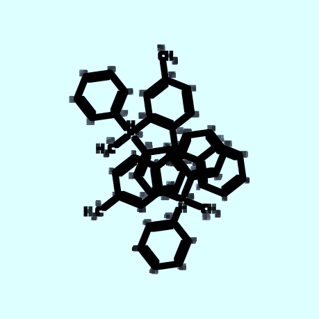 Cc1ccc(N(c2ccccc2)c2ccc(C)cc2[PH](C)(c2ccccc2)c2ccccc2)c([PH](C)(c2ccccc2)c2ccccc2)c1